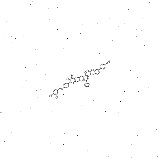 N#Cc1ccc(-c2ccc(C[C@H](NC(=O)C3Cc4cc5c(cc4CN3Cc3cccs3)O[C@@H](c3ccc(OCc4ccc(Cl)c(Cl)c4)cc3)C(=O)N5)C(=O)O)cc2)cc1